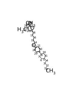 CCCCCC1CCC(c2ccc(OCCCCCC3CC(C)(CC)C(=O)O3)cc2)CC1